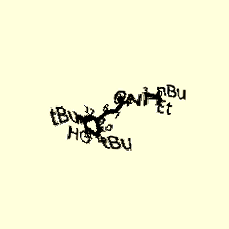 CCCCC(CC)CNC(=O)CCc1cc(C(C)(C)C)c(O)c(C(C)(C)C)c1